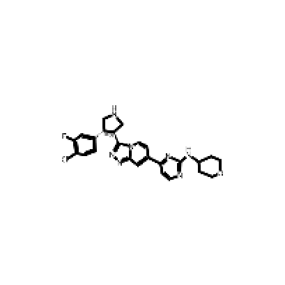 Fc1cc([C@@H]2CNC[C@H]2c2nnc3cc(-c4ccnc(NC5CCOCC5)n4)ccn23)ccc1Cl